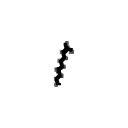 [CH2]CCSCCCC=C(C)C